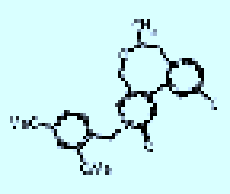 COc1ccc(Cn2cc3c(cc2=O)-c2cc(Cl)ccc2CC(C)OC3)c(OC)c1